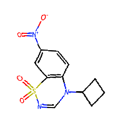 O=[N+]([O-])c1ccc2c(c1)S(=O)(=O)N=CN2C1CCC1